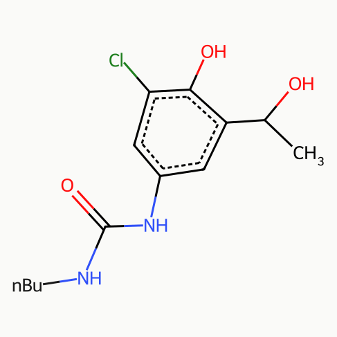 CCCCNC(=O)Nc1cc(Cl)c(O)c(C(C)O)c1